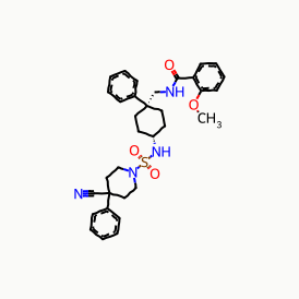 COc1ccccc1C(=O)NC[C@]1(c2ccccc2)CC[C@H](NS(=O)(=O)N2CCC(C#N)(c3ccccc3)CC2)CC1